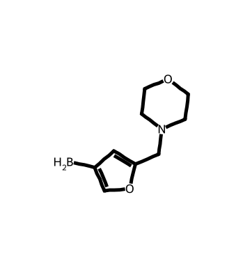 Bc1coc(CN2CCOCC2)c1